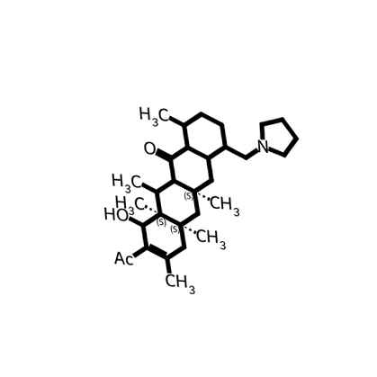 CC(=O)C1=C(C)C[C@]2(C)C[C@]3(C)CC4C(CN5CCCC5)CCC(C)C4C(=O)C3C(C)[C@]2(C)C1O